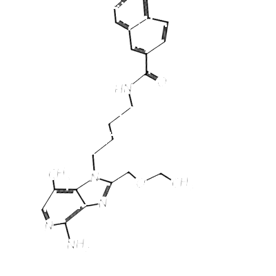 CCOCc1nc2c(N)ncc(C)c2n1CCCCNC(=O)c1ccc2ccccc2c1